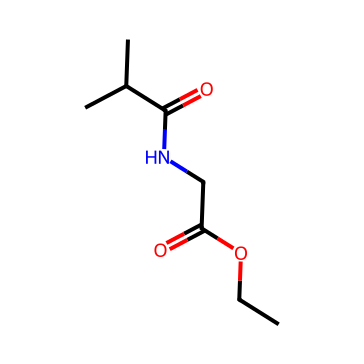 CCOC(=O)CNC(=O)C(C)C